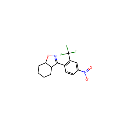 O=[N+]([O-])c1ccc(C2=NOC3CCCCC23)c(C(F)(F)F)c1